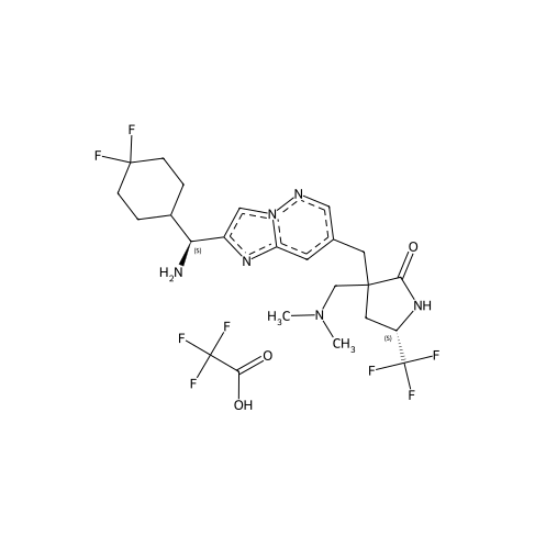 CN(C)CC1(Cc2cnn3cc([C@@H](N)C4CCC(F)(F)CC4)nc3c2)C[C@@H](C(F)(F)F)NC1=O.O=C(O)C(F)(F)F